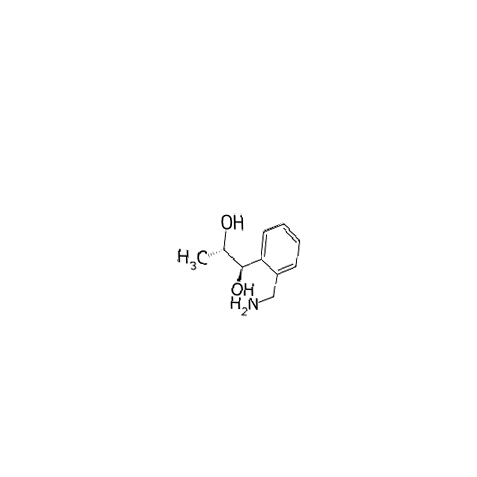 C[C@H](O)[C@H](O)c1ccccc1CN